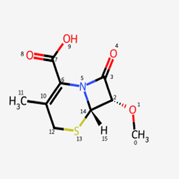 CO[C@H]1C(=O)N2C(C(=O)O)=C(C)CS[C@@H]12